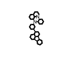 c1ccc(N(c2cccc(-c3ccc4c5c(cccc35)-c3ccccc3-4)c2)c2cccc3cccnc23)cc1